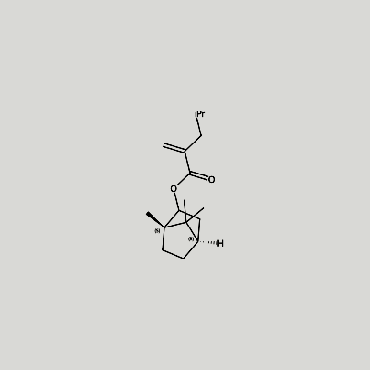 C=C(CC(C)C)C(=O)OC1C[C@H]2CC[C@@]1(C)C2(C)C